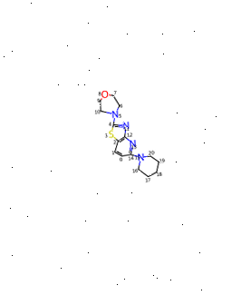 c1cc2sc(N3CCOCC3)nc2nc1N1CCCCC1